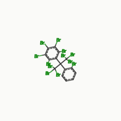 Brc1ccccc1C(c1c(Br)c(Br)c(Br)c(Br)c1Br)(C(Br)(Br)Br)C(Br)(Br)Br